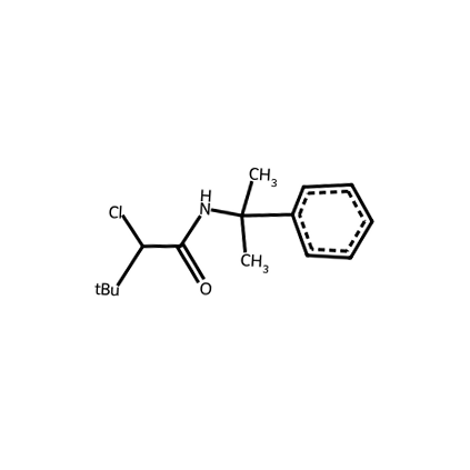 CC(C)(NC(=O)C(Cl)C(C)(C)C)c1ccccc1